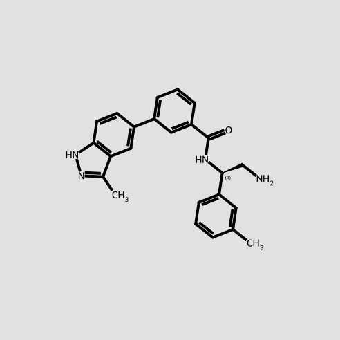 Cc1cccc([C@H](CN)NC(=O)c2cccc(-c3ccc4[nH]nc(C)c4c3)c2)c1